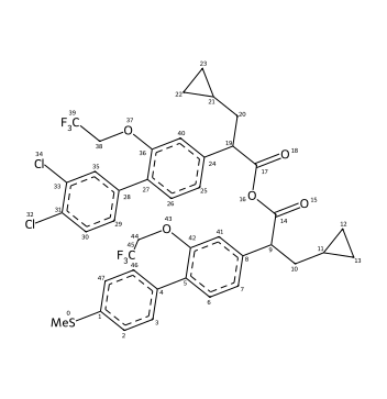 CSc1ccc(-c2ccc(C(CC3CC3)C(=O)OC(=O)C(CC3CC3)c3ccc(-c4ccc(Cl)c(Cl)c4)c(OCC(F)(F)F)c3)cc2OCC(F)(F)F)cc1